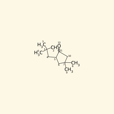 CC(C)(C)CC1CC(C)(C)CC1=O